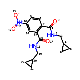 O=C(NCC1CC1)c1ccc([N+](=O)[O-])cc1C(=O)NCC1CC1